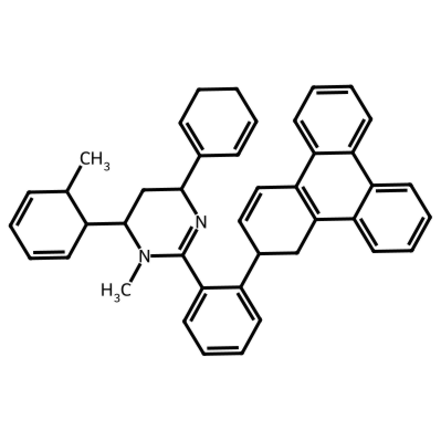 CC1C=CC=CC1C1CC(C2=CCCC=C2)N=C(c2ccccc2C2C=Cc3c(c4ccccc4c4ccccc34)C2)N1C